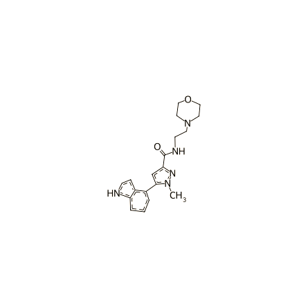 Cn1nc(C(=O)NCCN2CCOCC2)cc1-c1cccc2[nH]ccc12